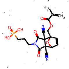 C=C(C)C(=O)OCC12C=CC(O1)C1(C#N)C(=O)N(CCCP(=O)(O)O)C(=O)C21C#N